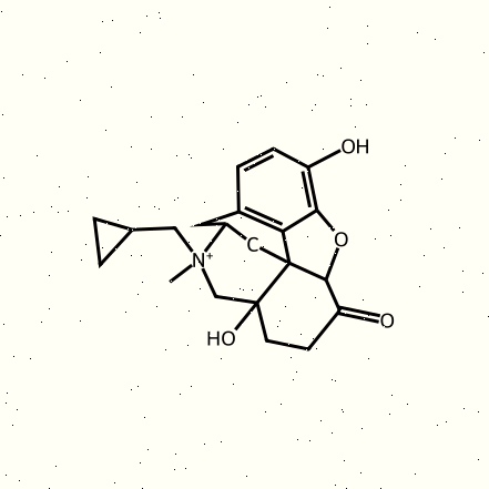 C[N+]1(CC2CC2)CC2(O)CCC(=O)C3Oc4c(O)ccc5c4C32CC1C5